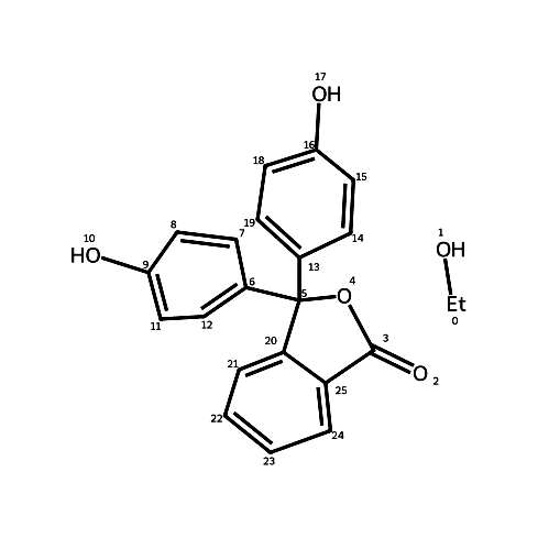 CCO.O=C1OC(c2ccc(O)cc2)(c2ccc(O)cc2)c2ccccc21